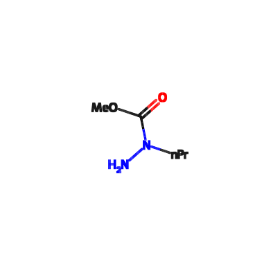 CCCN(N)C(=O)OC